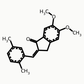 COc1cc2c(cc1OC)C(=O)C(=Cc1cc(C)ccc1C)C2